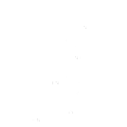 CC(C)C(=O)C(CCN)NC(=O)CNC(=O)CN1CCCCC1